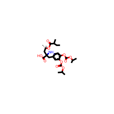 CCC(C)C(=O)O[C@@H](C)CC(N)(Cc1ccc(OC(=O)OC(C)C)c(OC(=O)OC(C)C)c1)C(=O)O